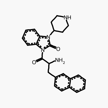 NC(Cc1ccc2ccccc2c1)C(=O)n1c(=O)n(C2CCNCC2)c2ccccc21